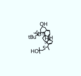 CC(SCC(C)(C)O)C1=CC[C@H]2C3=CC=C4CC(O)CC(O[Si](C)(C)C(C)(C)C)[C@]4(C)[C@H]3CC[C@]12C